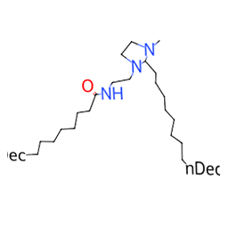 CCCCCCCCCCCCCCCCCCC1N(C)CCN1CCNC(=O)CCCCCCCCCCCCCCCCC